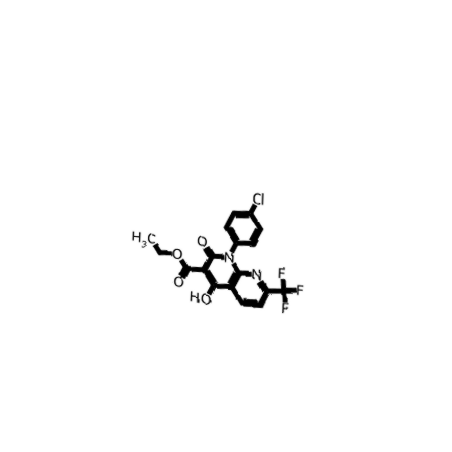 CCOC(=O)c1c(O)c2ccc(C(F)(F)F)nc2n(-c2ccc(Cl)cc2)c1=O